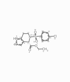 CCOC(=O)[C@@H]1c2cn[nH]c2CCN1S(=O)(=O)c1ccc(Cl)cc1